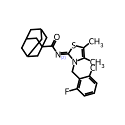 Cc1s/c(=N\C(=O)C23CC4CC(CC(C4)C2)C3)n(Cc2c(F)cccc2Cl)c1C